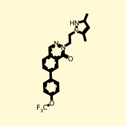 CC1=CC(C)NN1CCn1ncc2ccc(-c3ccc(OC(F)(F)F)cc3)cc2c1=O